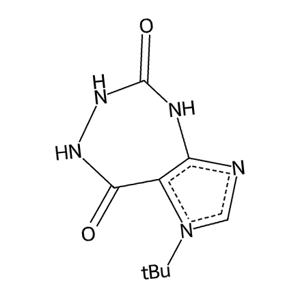 CC(C)(C)n1cnc2c1C(=O)NNC(=O)N2